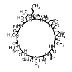 C/C=C/C[C@@H](C)[C@@H](O)[C@H]1C(=O)N[C@@H](CC)C(=O)N(C)CC(=O)N(C)[C@@H](C(C)C)C(=O)N[C@@H](C(C)(C)C)C(=O)N(C)[C@@H](C)C(=O)NC(CC(C)C)C(=O)N[C@H](C)C(=O)N(C)[C@@H](CC(C)C)C(=O)N(C)[C@H](CC(C)C)C(=O)N(C)[C@@H](C(C)C)C(=O)N1C